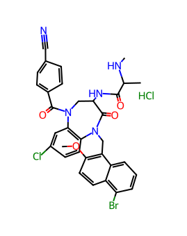 CNC(C)C(=O)NC1CN(C(=O)c2ccc(C#N)cc2)c2cc(Cl)ccc2N(Cc2c(OC)ccc3c(Br)cccc23)C1=O.Cl